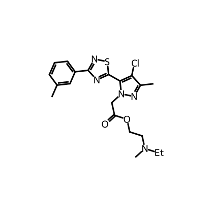 CCN(C)CCOC(=O)Cn1nc(C)c(Cl)c1-c1nc(-c2cccc(C)c2)ns1